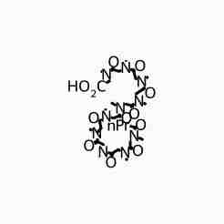 CCCC(=O)N(C)CC(=O)N(C)CC(=O)N(C)CC(=O)N(C)CC(=O)N(C)CC(=O)N(C)CC(=O)N(C)CC(=O)N(C)CC(=O)N(C)CC(=O)N(C)CC(=O)O